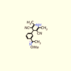 CO/N=C(\C)c1cccc(C2C(C#N)=C(C)NC(C)=C2C#N)c1